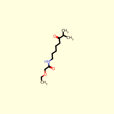 CCOCC(=O)NCCCCCC(=O)C(C)C